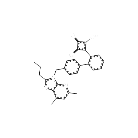 CCCc1nc2c(C)cc(C)nc2n1Cc1ccc(-c2ccccc2-c2c(O)c(=O)c2=O)cc1